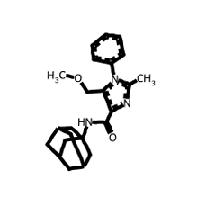 COCc1c(C(=O)NC23CC4CC(CC(C4)C2)C3)nc(C)n1-c1ccccc1